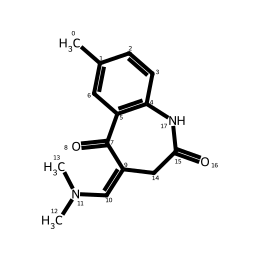 Cc1ccc2c(c1)C(=O)C(=CN(C)C)CC(=O)N2